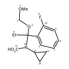 CCC(OCOC)(c1ccccc1F)N(C(=O)O)C1CC1